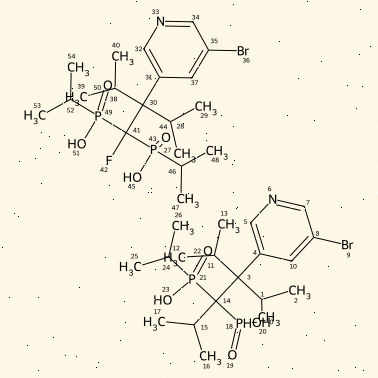 CC(C)C(c1cncc(Br)c1)(C(C)C)C(C(C)C)([PH](=O)O)P(=O)(O)C(C)C.CC(C)C(c1cncc(Br)c1)(C(C)C)C(F)(P(=O)(O)C(C)C)P(=O)(O)C(C)C